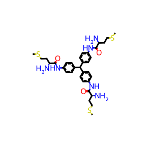 CSCC[C@H](N)C(=O)Nc1ccc(C(c2ccc(NC(=O)[C@@H](N)CCSC)cc2)c2ccc(NC(=O)[C@@H](N)CCSC)cc2)cc1